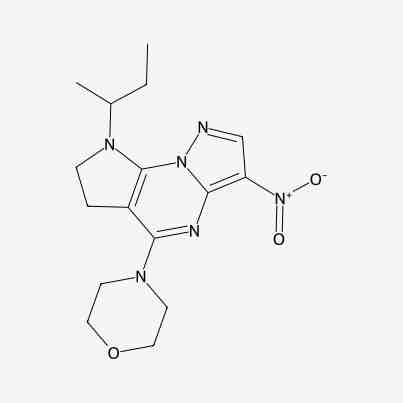 CCC(C)N1CCc2c(N3CCOCC3)nc3c([N+](=O)[O-])cnn3c21